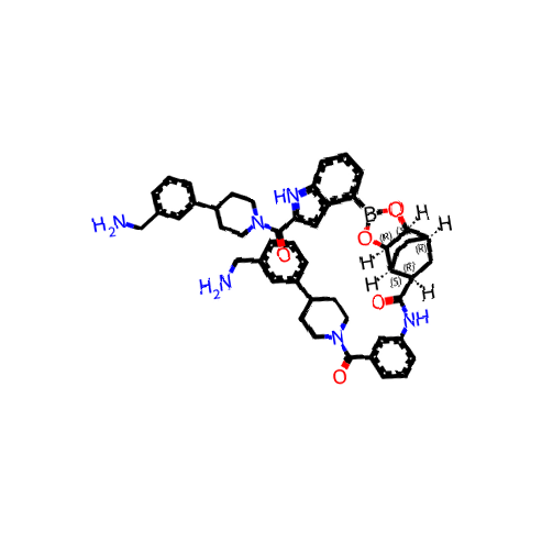 NCc1cccc(C2CCN(C(=O)c3cccc(NC(=O)[C@@H]4C[C@H]5CC[C@@H]4[C@H]4OB(c6cccc7[nH]c(C(=O)N8CCC(c9cccc(CN)c9)CC8)cc67)O[C@@H]54)c3)CC2)c1